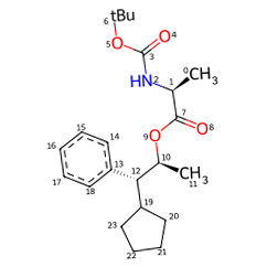 C[C@H](NC(=O)OC(C)(C)C)C(=O)O[C@@H](C)[C@@H](c1ccccc1)C1CCCC1